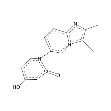 Cc1nc2ccc(-n3ccc(O)cc3=O)cn2c1C